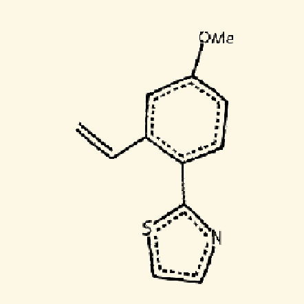 C=Cc1cc(OC)ccc1-c1nccs1